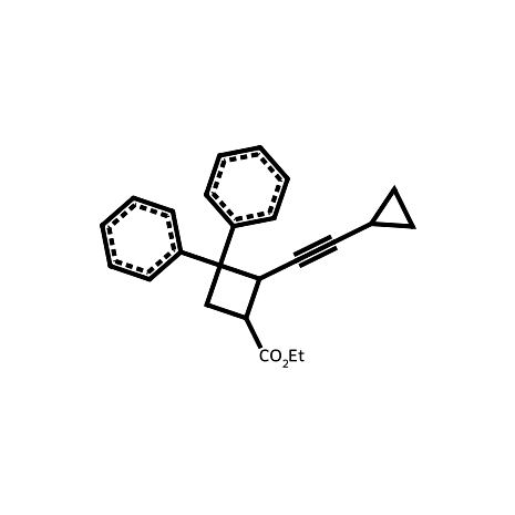 CCOC(=O)C1CC(c2ccccc2)(c2ccccc2)C1C#CC1CC1